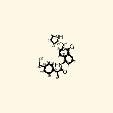 CC(C(=O)Nc1cccc2c(=O)n(C[C@@H]3CCCN3)ccc12)c1ccc(CI)cc1